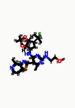 COCCNc1nc(C)c(-c2nc3c(C)nccc3s2)c(N[C@@H]2C[C@H](C(C)(C)F)[C@H]3OC(C)(C)O[C@H]32)n1